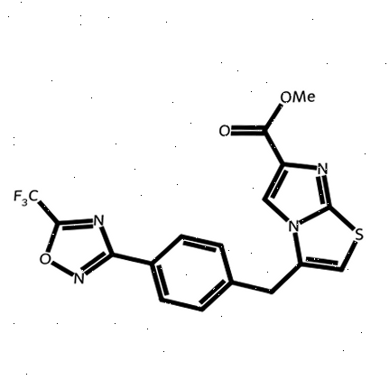 COC(=O)c1cn2c(Cc3ccc(-c4noc(C(F)(F)F)n4)cc3)csc2n1